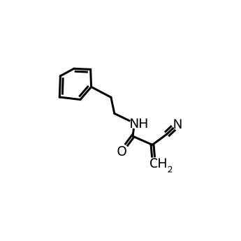 C=C(C#N)C(=O)NCCc1ccccc1